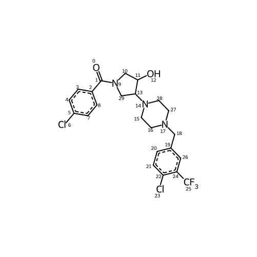 O=C(c1ccc(Cl)cc1)N1CC(O)C(N2CCN(Cc3ccc(Cl)c(C(F)(F)F)c3)CC2)C1